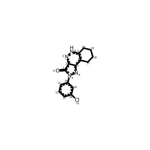 O=c1c2n[nH]c3c(c-2nn1-c1cccc(Cl)c1)CCCC3